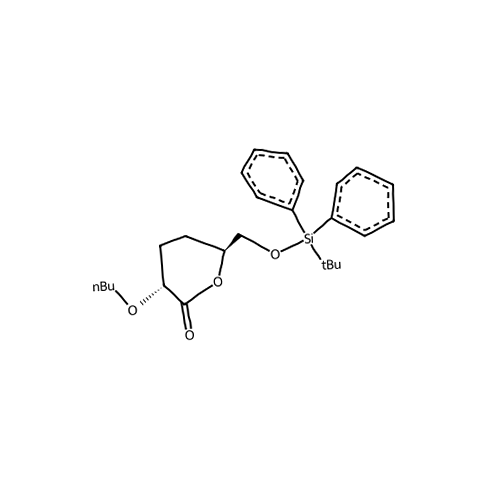 CCCCO[C@@H]1CC[C@@H](CO[Si](c2ccccc2)(c2ccccc2)C(C)(C)C)OC1=O